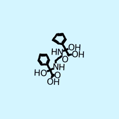 O=C(O)C(O)(NCCNC(O)(C(=O)O)c1ccccc1)c1ccccc1